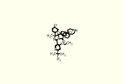 CCOc1cc(C(C)(C)C)ncc1C1=N[C@](C)(c2ccc(Cl)cc2)[C@@](C)(c2ccc(Cl)cc2)N1C(=O)N1CCC2(CCNCC2)CC1